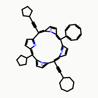 C(#CC1CCCC1)c1c2nc(c(C3CCCC3)c3ccc([nH]3)c(C#CC3CCCCCC3)c3nc(c(C4=C/C=C\C=C/C=C\4)c4ccc1[nH]4)C=C3)C=C2